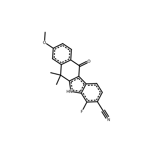 COc1ccc2c(c1)C(C)(C)c1[nH]c3c(F)c(C#N)ccc3c1C2=O